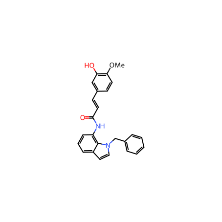 COc1ccc(C=CC(=O)Nc2cccc3ccn(Cc4ccccc4)c23)cc1O